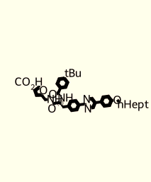 CCCCCCCOc1ccc(-c2cnc(-c3ccc(C[C@H](NC(=O)c4ccc(C(C)(C)C)cc4)C(=O)NCc4ccc(C(=O)O)o4)cc3)nc2)cc1